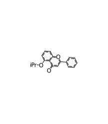 CC(C)Oc1cccc2oc(-c3ccccc3)cc(=O)c12